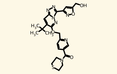 CC(C)(C)c1cc2nnc(-c3cc(CO)on3)n2nc1OCc1ccc(C(=O)N2CCSCC2)cn1